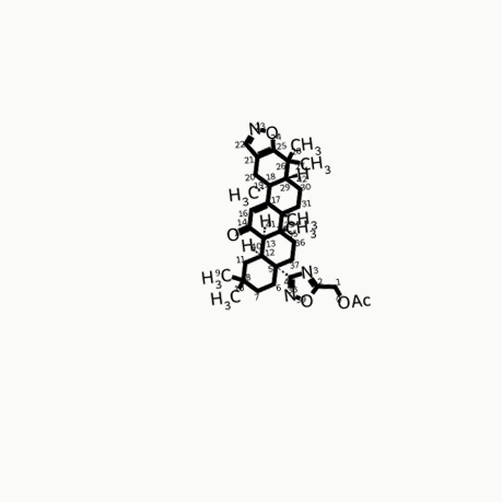 CC(=O)OCc1nc([C@]23CCC(C)(C)C[C@H]2[C@H]2C(=O)C=C4[C@@]5(C)Cc6cnoc6C(C)(C)[C@@H]5CC[C@@]4(C)[C@]2(C)CC3)no1